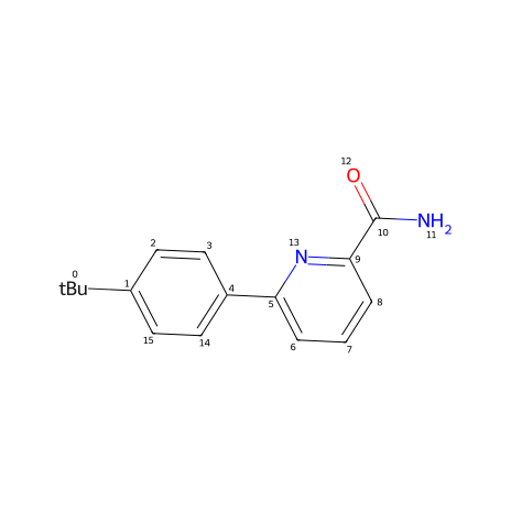 CC(C)(C)c1ccc(-c2cccc(C(N)=O)n2)cc1